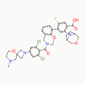 CN1CCOC2(C1)CN(c1cc(Cl)c(C(=O)N3COc4c(cccc4-c4cc(N5C6CCC5COC6)c(C(=O)O)cc4F)C3)c(Cl)c1)C2